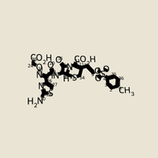 Cc1ccc(S(=O)(=O)O/C=C/C2=C(C(=O)O)N3C(=O)C(NC(=O)/C(=N\OCC(=O)O)c4csc(N)n4)[C@H]3SC2)cc1